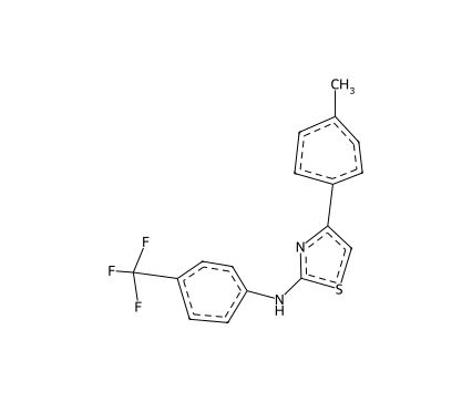 Cc1ccc(-c2csc(Nc3ccc(C(F)(F)F)cc3)n2)cc1